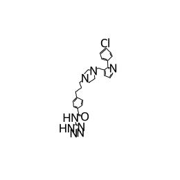 O=C(Nc1nnn[nH]1)c1ccc(CCCN2CCN(Cc3cccnc3-c3ccc(Cl)cc3)CC2)cc1